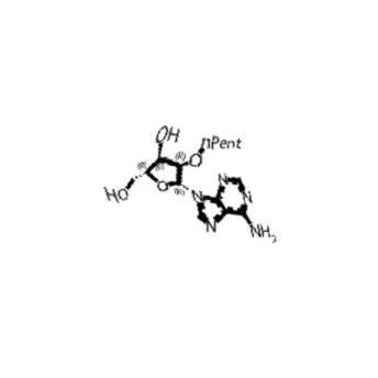 CCCCCO[C@@H]1[C@H](O)[C@@H](CO)O[C@H]1n1cnc2c(N)ncnc21